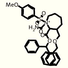 COc1ccc(S(=O)(=O)[N+]2(C(N)=O)CCCCC(COCc3ccccc3)C2C(=O)OC(c2ccccc2)c2ccccc2)cc1